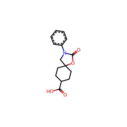 O=C(O)C1CCC2(CC1)CN(c1ccccc1)C(=O)O2